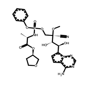 CO[C@](C#N)(COP(=O)(N[C@@H](C)C(=O)O[C@@H]1CCOC1)Oc1ccccc1)[C@@H](O)[C@@H](O)c1ccc2c(N)ncnn12